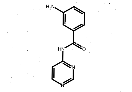 Nc1cccc(C(=O)Nc2ccncn2)c1